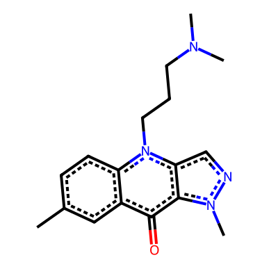 Cc1ccc2c(c1)c(=O)c1c(cnn1C)n2CCCN(C)C